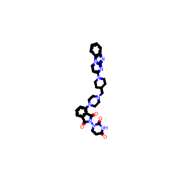 O=C1CCN(N2C(=O)c3cccc(N4CCN(CC5CCN(c6ccn7c(n6)nc6ccccc67)CC5)CC4)c3C2=O)C(=O)N1